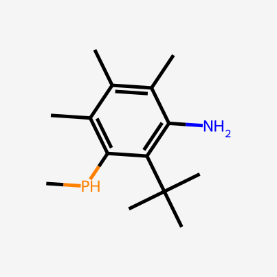 CPc1c(C)c(C)c(C)c(N)c1C(C)(C)C